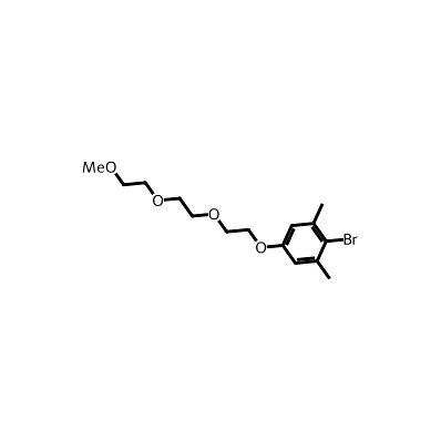 COCCOCCOCCOc1cc(C)c(Br)c(C)c1